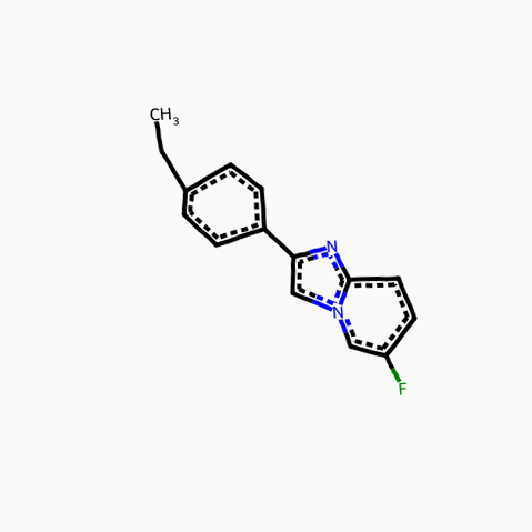 CCc1ccc(-c2cn3cc(F)ccc3n2)cc1